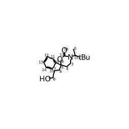 CC(N1CCC(CCCO)(c2ccccc2)OC1=O)C(C)(C)C